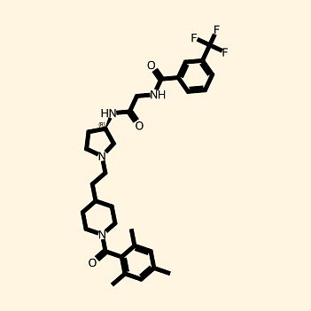 Cc1cc(C)c(C(=O)N2CCC(CCN3CC[C@@H](NC(=O)CNC(=O)c4cccc(C(F)(F)F)c4)C3)CC2)c(C)c1